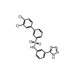 O=S(=O)(Nc1cccc(-c2nnn[nH]2)c1)c1cccc(-c2ccc(Cl)c(Cl)c2)c1